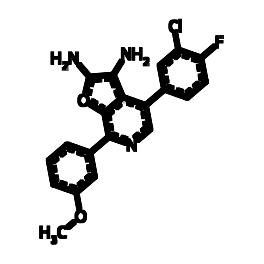 COc1cccc(-c2ncc(-c3ccc(F)c(Cl)c3)c3c(N)c(N)oc23)c1